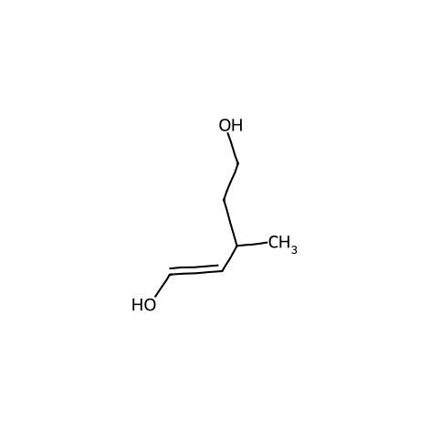 CC(/C=C/O)CCO